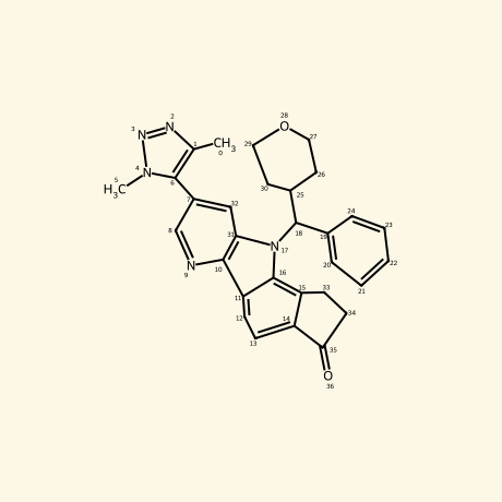 Cc1nnn(C)c1-c1cnc2c3ccc4c(c3n(C(c3ccccc3)C3CCOCC3)c2c1)CCC4=O